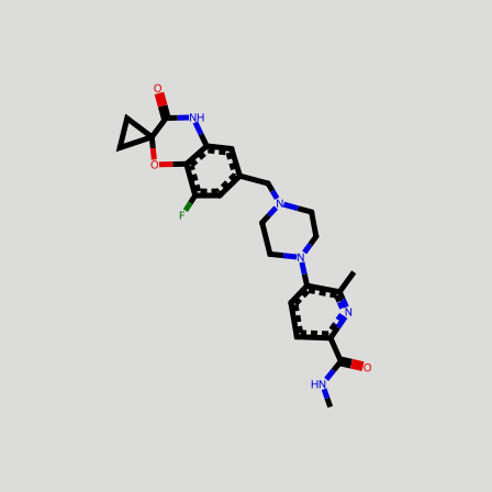 CNC(=O)c1ccc(N2CCN(Cc3cc(F)c4c(c3)NC(=O)C3(CC3)O4)CC2)c(C)n1